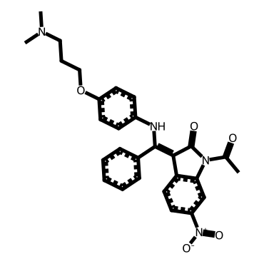 CC(=O)N1C(=O)/C(=C(\Nc2ccc(OCCCN(C)C)cc2)c2ccccc2)c2ccc([N+](=O)[O-])cc21